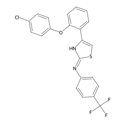 FC(F)(F)c1ccc(N=c2[nH]c(-c3ccccc3Oc3ccc(Cl)cc3)cs2)cc1